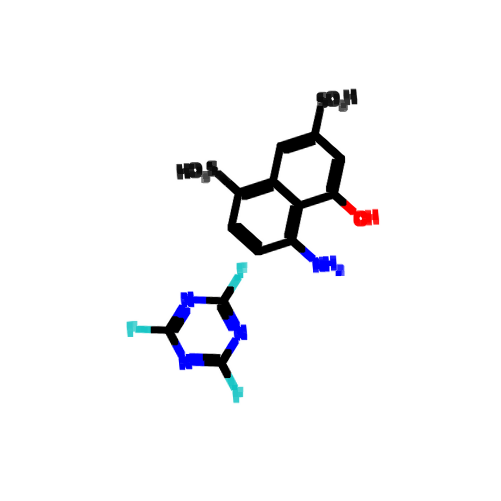 Fc1nc(F)nc(F)n1.Nc1ccc(S(=O)(=O)O)c2cc(S(=O)(=O)O)cc(O)c12